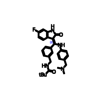 CN(C)Cc1ccc(N/C(=C2\C(=O)Nc3cc(F)ccc32)c2cccc(CNC(=O)C(C)(C)C)c2)cc1